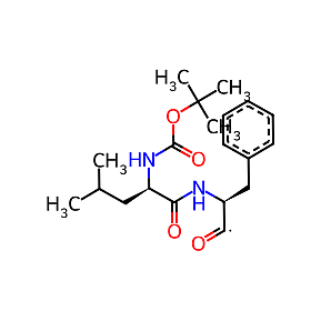 CC(C)C[C@@H](NC(=O)OC(C)(C)C)C(=O)N[C@H]([C]=O)Cc1ccccc1